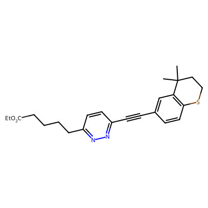 CCOC(=O)CCCCc1ccc(C#Cc2ccc3c(c2)C(C)(C)CCS3)nn1